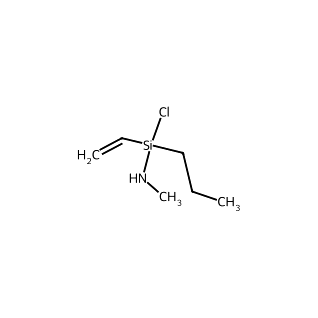 C=C[Si](Cl)(CCC)NC